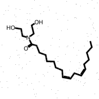 CCCCC/C=C\C/C=C\CCCCCCCC(=O)N(CCO)CCO